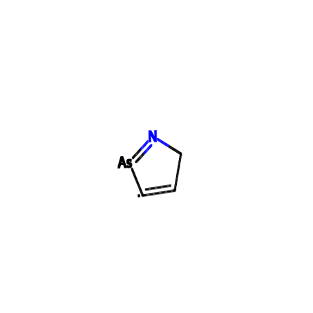 [C]1=CCN=[As]1